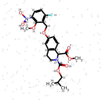 COC(=O)C1c2ccc(OCc3c(F)ccc([N+](=O)[O-])c3OC)cc2CCN1C(=O)OCC(C)C